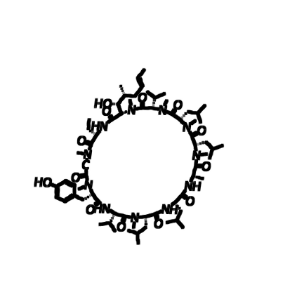 C/C=C/C[C@@H](C)[C@@H](O)[C@H]1C(=O)N[C@@H](CC)C(=O)N(C)CC(=O)N(C)[C@@H](Cc2ccc(O)cc2)C(=O)N[C@@H](C(C)C)C(=O)N(C)[C@@H](CC(C)C)C(=O)N[C@@H](CC(C)C)C(=O)N[C@H](C)C(=O)N(C)[C@@H](CC(C)C)C(=O)N(C)[C@@H](CC(C)C)C(=O)N(C)[C@@H](C(C)C)C(=O)N1C